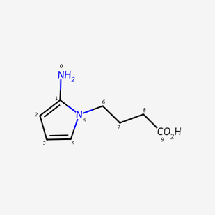 Nc1cccn1CCCC(=O)O